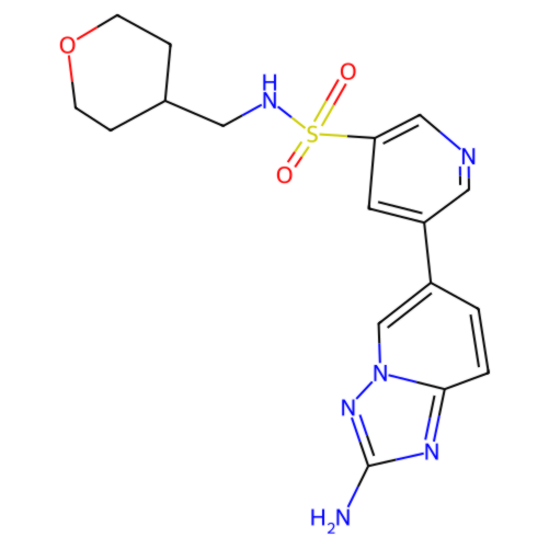 Nc1nc2ccc(-c3cncc(S(=O)(=O)NCC4CCOCC4)c3)cn2n1